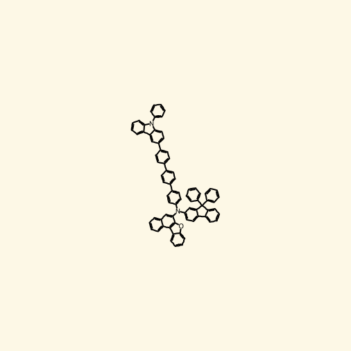 c1ccc(-n2c3ccccc3c3cc(-c4ccc(-c5ccc(-c6ccc(N(c7ccc8c(c7)C(c7ccccc7)(c7ccccc7)c7ccccc7-8)c7cc8ccccc8c8c7oc7ccccc78)cc6)cc5)cc4)ccc32)cc1